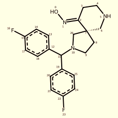 O/N=C1\CCNC[C@@]12CCN(C(c1ccc(F)cc1)c1ccc(F)cc1)C2